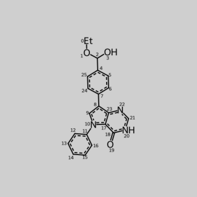 CCOC(O)c1ccc(-c2cn(-c3ccccc3)c3c(=O)[nH]cnc23)cc1